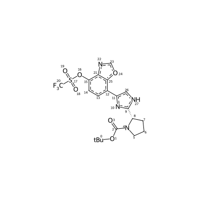 CC(C)(C)OC(=O)N1CCC[C@H]1c1nc(-c2ccc(OS(=O)(=O)C(F)(F)F)c3ncoc23)c[nH]1